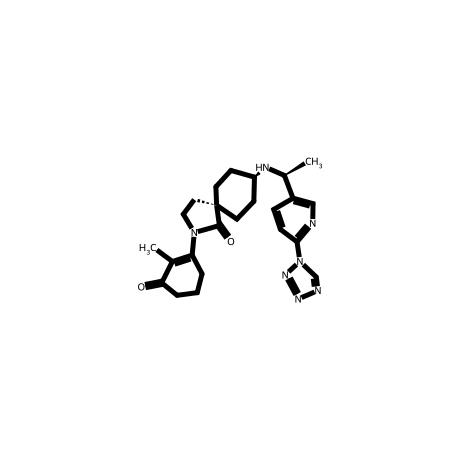 CC1=C(N2CC[C@]3(CC[C@@H](N[C@@H](C)c4ccc(-n5cnnn5)nc4)CC3)C2=O)CCCC1=O